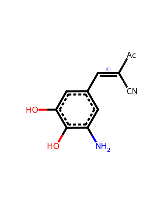 CC(=O)/C(C#N)=C/c1cc(N)c(O)c(O)c1